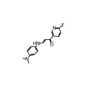 CN(C)c1ccc(NC=CC(=O)c2ccc(F)nc2)cc1